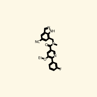 CCOc1cc(C(=O)N(C)Cc2cc(C#N)cc3cn[nH]c23)cnc1-c1cccc(F)c1